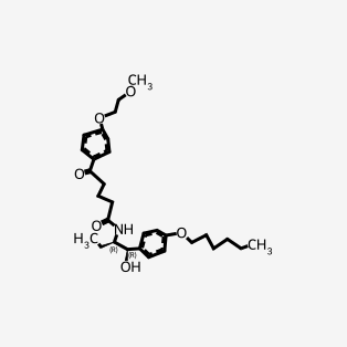 CCCCCCOc1ccc([C@@H](O)[C@@H](CC)NC(=O)CCCC(=O)c2ccc(OCCOC)cc2)cc1